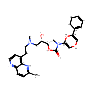 COc1ccc2nccc(CCN(C)C[C@H](O)[C@@H]3CN(C4=COC=C(C5=CC=CCC5)O4)C(=O)O3)c2n1